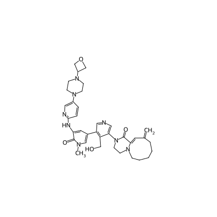 C=C1/C=C2/C(=O)N(c3cncc(-c4cc(Nc5ccc(N6CCN(C7COC7)CC6)cn5)c(=O)n(C)c4)c3CO)CCN2CCCCC1